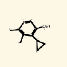 Cc1ncc(C=O)c(C2CC2)c1C